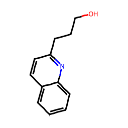 OCCCc1ccc2c[c]ccc2n1